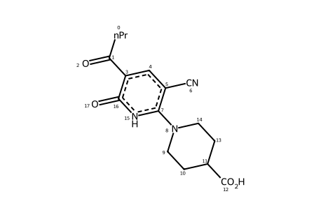 CCCC(=O)c1cc(C#N)c(N2CCC(C(=O)O)CC2)[nH]c1=O